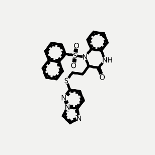 O=C1Nc2ccccc2N(S(=O)(=O)c2cccc3ccccc23)C1CCSc1ccc2nccn2n1